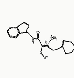 CC(C)OC(C(=O)NC1CCc2ccccc21)[C@H](N)CC1CCCCC1